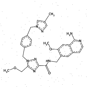 COCc1nc(C(=O)NCc2cc3ccnc(N)c3cc2OC)nn1Cc1ccc(Cn2cc(C)cn2)cc1